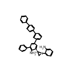 Nc1ccccc1N1C[C@H]1c1cc(-c2cccc(-c3ccc(-c4ccccc4)cc3)c2)cc(-c2ccccc2)c1N